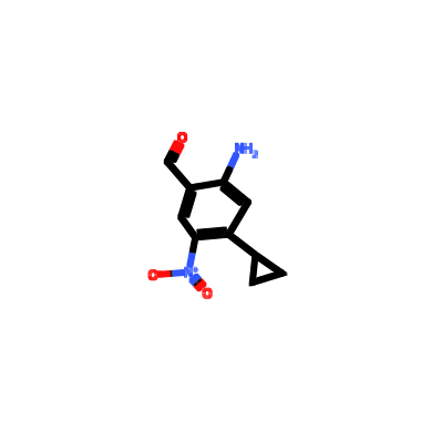 Nc1cc(C2CC2)c([N+](=O)[O-])cc1C=O